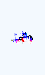 CCOc1cc(C(=O)Nc2ncc(C)s2)ccc1-c1nc([C@@H]2CC[C@H]3CCC(=O)N3C2)n2c(F)cnc(N)c12